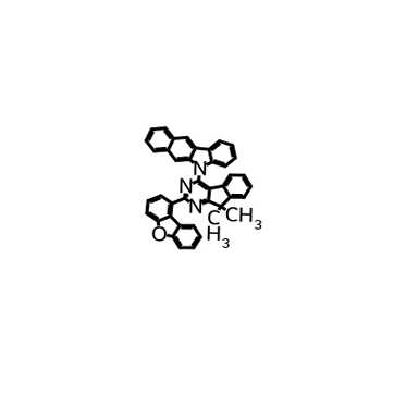 CC1(C)c2ccccc2-c2c(-n3c4ccccc4c4cc5ccccc5cc43)nc(-c3cccc4oc5ccccc5c34)nc21